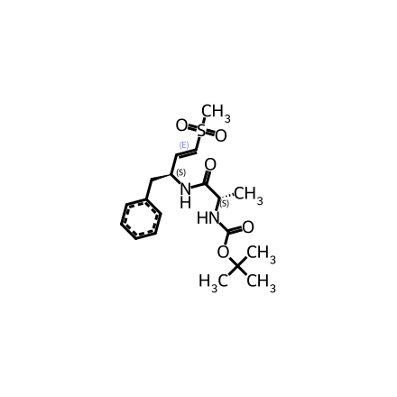 C[C@H](NC(=O)OC(C)(C)C)C(=O)N[C@H](/C=C/S(C)(=O)=O)Cc1ccccc1